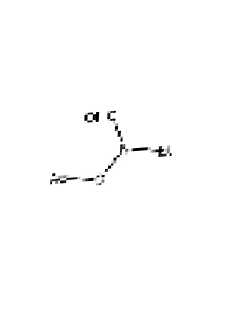 CCN([C]=O)OC(C)=O